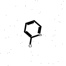 Cl[C]1=CC=C[CH]=[In]1